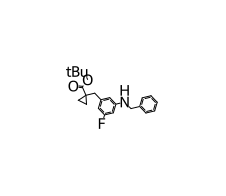 CC(C)(C)OC(=O)C1(Cc2cc(F)cc(NCc3ccccc3)c2)CC1